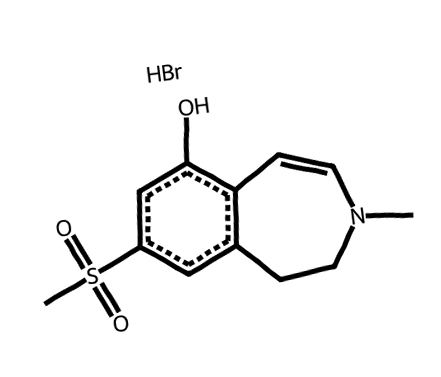 Br.CN1C=Cc2c(O)cc(S(C)(=O)=O)cc2CC1